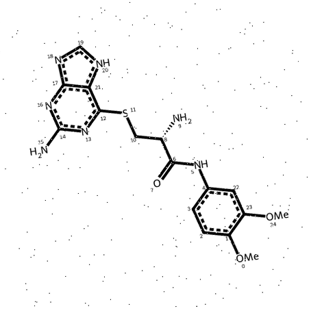 COc1ccc(NC(=O)[C@@H](N)CSc2nc(N)nc3nc[nH]c23)cc1OC